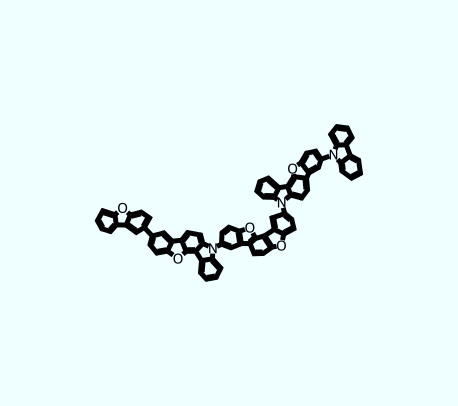 c1ccc2c(c1)oc1ccc(-c3ccc4oc5c(ccc6c5c5ccccc5n6-c5ccc6oc7c(ccc8oc9ccc(-n%10c%11ccccc%11c%11c%12oc%13ccc(-n%14c%15ccccc%15c%15ccccc%15%14)cc%13c%12ccc%11%10)cc9c87)c6c5)c4c3)cc12